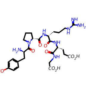 N=C(N)NCCC[C@@H](NC(=O)[C@H]1CCCN1C(=O)[C@H](N)Cc1ccc(O)cc1)C(=O)N[C@H](CCC(=O)O)C(=O)NCC(=O)O